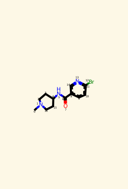 CN1CCC(NC(=O)c2ccc(Br)nc2)CC1